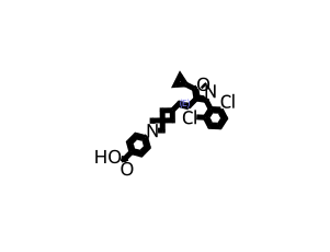 O=C(O)c1ccc(N2CC3(CC(/C=C/c4c(-c5c(Cl)cccc5Cl)noc4C4CC4)C3)C2)cc1